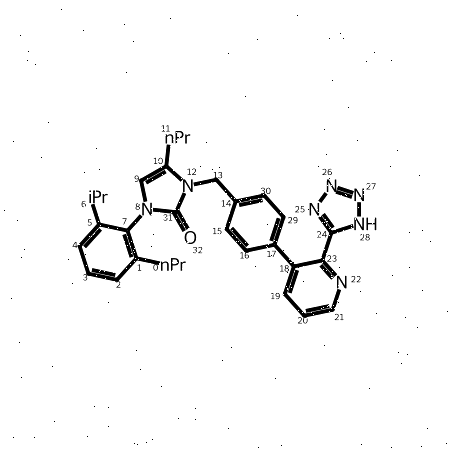 CCCc1cccc(C(C)C)c1-n1cc(CCC)n(Cc2ccc(-c3cccnc3-c3nnn[nH]3)cc2)c1=O